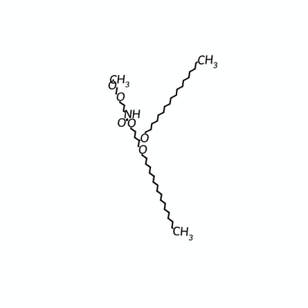 CCCCCCCCCCCCCCCCCCOCC(CCCOC(=O)NCCCOCCOC)OCCCCCCCCCCCCCCCCCC